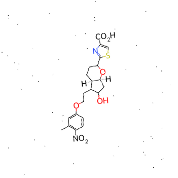 Cc1cc(OCCC2[C@H](O)C[C@@H]3OC(c4nc(C(=O)O)cs4)CC[C@H]23)ccc1[N+](=O)[O-]